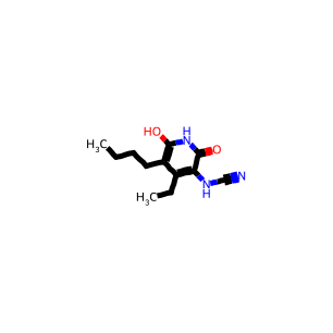 CCCCc1c(O)[nH]c(=O)c(NC#N)c1CC